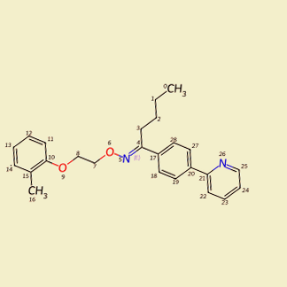 CCCC/C(=N\OCCOc1ccc[c]c1C)c1ccc(-c2ccccn2)cc1